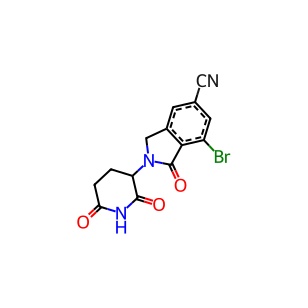 N#Cc1cc(Br)c2c(c1)CN(C1CCC(=O)NC1=O)C2=O